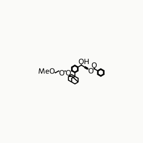 COCCOCOc1ccc(C(O)C#COC(=O)c2ccccc2)cc1C12CC3CC(CC(C3)C1)C2